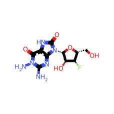 Nc1nc2c([nH]c(=O)n2[C@@H]2O[C@H](CO)[C@@H](F)[C@H]2O)c(=O)n1N